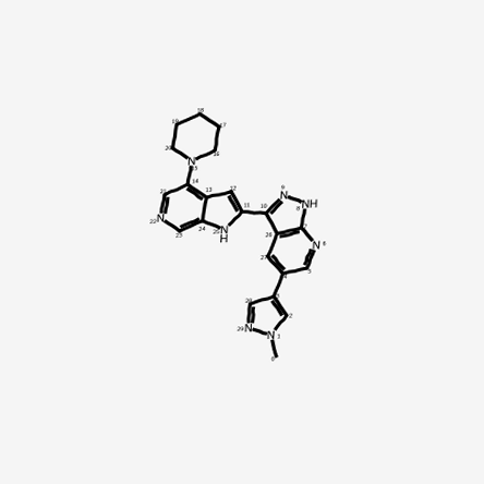 Cn1cc(-c2cnc3[nH]nc(-c4cc5c(N6CCCCC6)cncc5[nH]4)c3c2)cn1